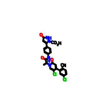 CC(C(=O)Nc1ccc(-c2cc(=O)[nH]n2C(=O)O)cc1)n1cc(Cl)c(-c2cc(Cl)ccc2C#N)cc1=O